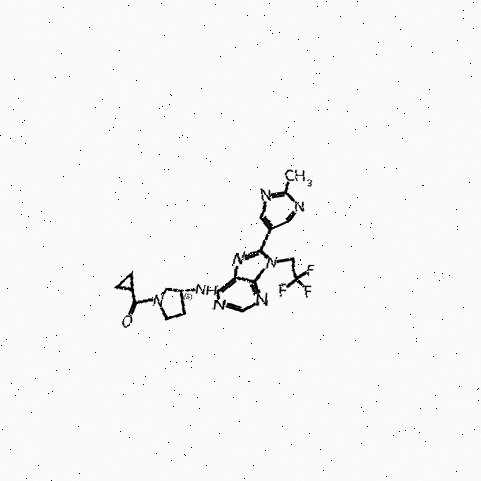 Cc1ncc(-c2nc3c(N[C@H]4CCN(C(=O)C5CC5)C4)ncnc3n2CC(F)(F)F)cn1